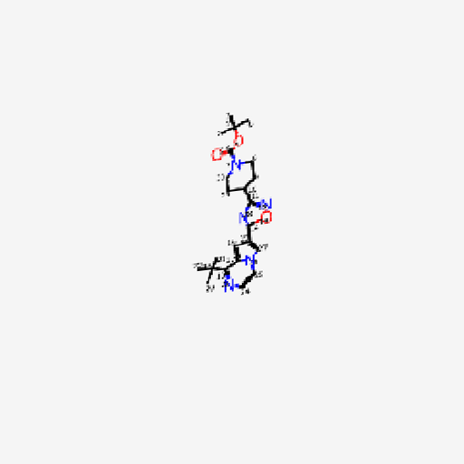 CC(C)(C)OC(=O)N1CCC(c2noc(-c3cc4c(C(C)(C)C)nccn4c3)n2)CC1